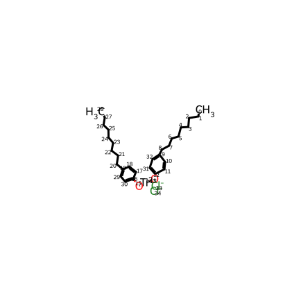 CCCCCCCCCc1ccc([O][Ti+2][O]c2ccc(CCCCCCCCC)cc2)cc1.[Cl-].[Cl-]